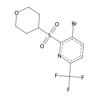 O=S(=O)(c1nc(C(F)(F)F)ccc1Br)C1CCOCC1